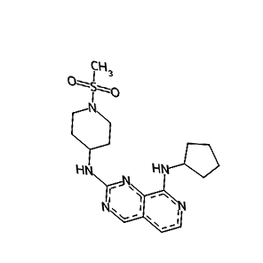 CS(=O)(=O)N1CCC(Nc2ncc3ccnc(NC4CCCC4)c3n2)CC1